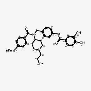 CCCCCc1ccc(C(=O)N(Cc2ccc(NC(=O)c3ccc(O)c(O)c3)cc2)C2CCN(CCC(C)C)CC2)cc1